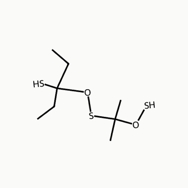 CCC(S)(CC)OSC(C)(C)OS